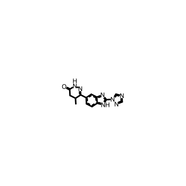 CC1CC(=O)NN=C1c1ccc2[nH]c(-n3cncn3)nc2c1